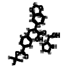 CC(C)(C)OC(=O)c1ccc(CC(C(=O)O)c2ccc3c(c2)OCO3)cc1.OC[C@@H]1CCCN1